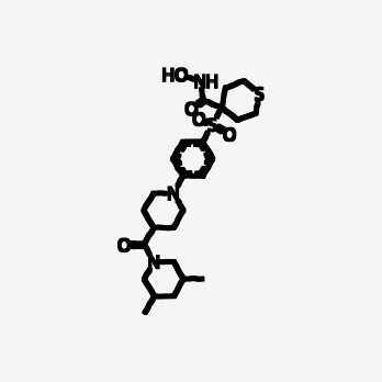 CC1CC(C)CN(C(=O)C2CCN(c3ccc(S(=O)(=O)C4(C(=O)NO)CCSCC4)cc3)CC2)C1